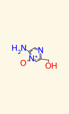 Nc1cnc(CO)c[n+]1[O-]